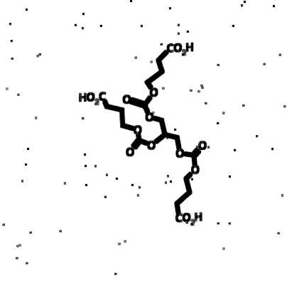 O=C(O)CCCOC(=O)OCC(COC(=O)OCCCC(=O)O)OC(=O)OCCCC(=O)O